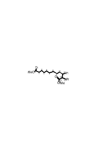 COC(=O)CCCCCCCCC(C(C)C)C(C(=O)OC)C(C)C